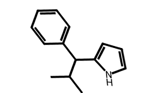 CC(C)C(c1ccccc1)c1ccc[nH]1